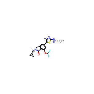 CCOC(=O)Nc1nc(C)c(-c2cc3c(c(OC(F)F)c2)C(=O)N([C@@H](C)C2CC2)C3)s1